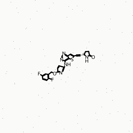 O=C1CC[C@@H](C#Cc2cc3ncnc(Nc4ccc(OCc5cc(F)ccc5F)nc4)c3s2)N1